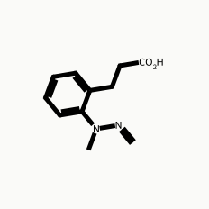 C=NN(C)c1ccccc1CCC(=O)O